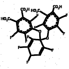 O=C(O)c1c(F)c(F)c(OC2(Oc3c(F)c(F)c(C(=O)O)c(C(=O)O)c3F)C(F)=CC(F)C(F)=C2F)c(F)c1C(=O)O